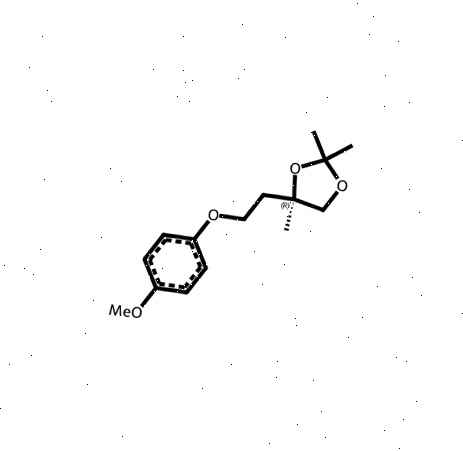 COc1ccc(OCC[C@]2(C)COC(C)(C)O2)cc1